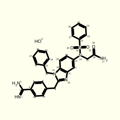 Cl.N=C(N)c1ccc(Cc2nc3cc(N(CC(N)=O)S(=O)(=O)c4ccccc4)ccc3n2Cc2ccccc2)cc1